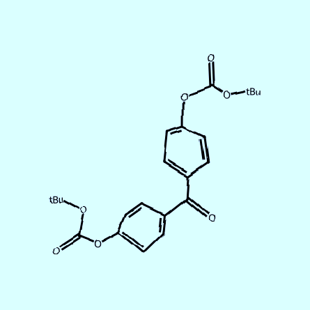 CC(C)(C)OC(=O)Oc1ccc(C(=O)c2ccc(OC(=O)OC(C)(C)C)cc2)cc1